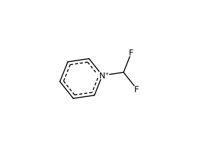 FC(F)[n+]1ccccc1